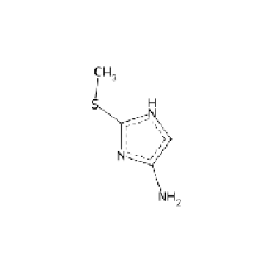 CSc1nc(N)c[nH]1